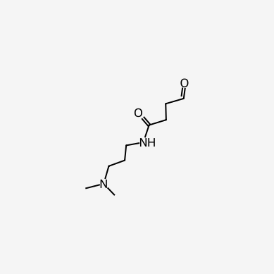 CN(C)CCCNC(=O)CCC=O